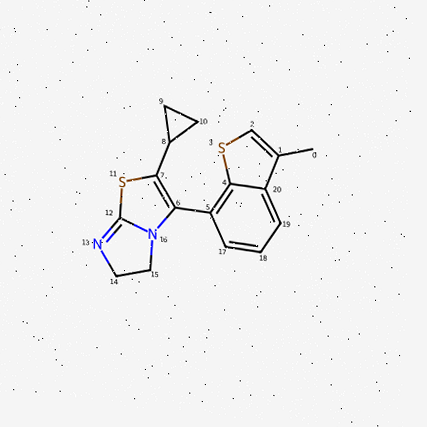 Cc1csc2c(C3=C(C4CC4)SC4=NCCN43)cccc12